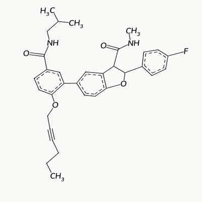 CCCC#CCOc1ccc(C(=O)NCC(C)C)cc1-c1ccc2c(c1)C(C(=O)NC)C(c1ccc(F)cc1)O2